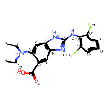 CCN(CC)c1cc2[nH]c(Nc3c(F)cccc3F)nc2cc1C(=O)O